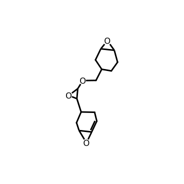 C1=C2OC2CC(C2OC2OCC2CCC3OC3C2)C1